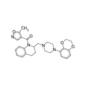 Cc1oncc1C(=O)N1c2ccccc2CCC1CN1CCN(c2cccc3c2OCCO3)CC1